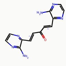 Nc1nccnc1/C=C/C(=O)/C=C/c1nccnc1N